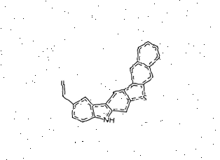 C=Cc1ccc2[nH]c3cc4sc5cc6ccccc6cc5c4cc3c2c1